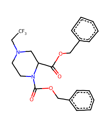 O=C(OCc1ccccc1)C1CN(CC(F)(F)F)CCN1C(=O)OCc1ccccc1